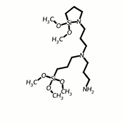 CO[Si](CCCN(CCCN)CCCN1CCC[Si]1(OC)OC)(OC)OC